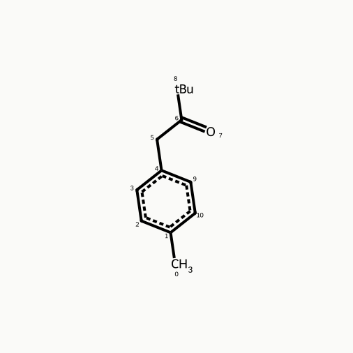 Cc1ccc(CC(=O)C(C)(C)C)cc1